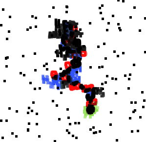 CC[C@H](C)[C@@H]([C@@H](CC(=O)N1CCC[C@H]1[C@H](OC)[C@@H](C)C(=O)N[C@@H](Cc1ccccc1)C(=O)NCc1ccc(NC(=O)[C@H](CCCNC(N)=O)NC(=O)[C@@H](NC(=O)COCCOCC(=O)N2CCC(C(=O)Oc3c(F)c(F)c(F)c(F)c3F)CC2C)C(C)C)cc1)OC)N(C)C(=O)[C@@H](NC(=O)[C@H](C(C)C)N(C)C)C(C)C